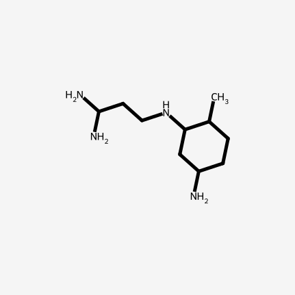 CC1CCC(N)CC1NCCC(N)N